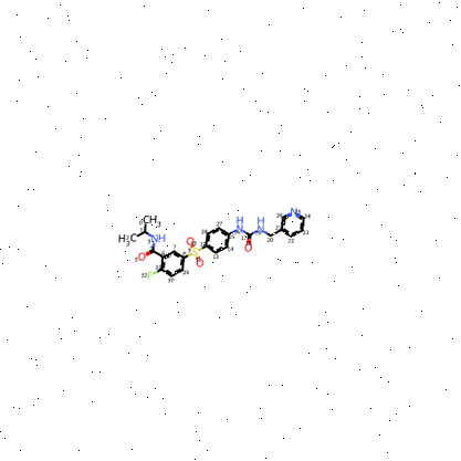 CC(C)NC(=O)c1cc(S(=O)(=O)c2ccc(NC(=O)NCc3cccnc3)cc2)ccc1F